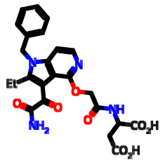 CCc1c(C(=O)C(N)=O)c2c(OCC(=O)NC(CC(=O)O)C(=O)O)nccc2n1Cc1ccccc1